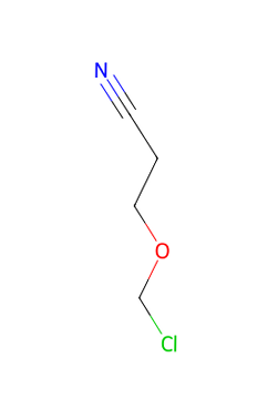 N#CCCOCCl